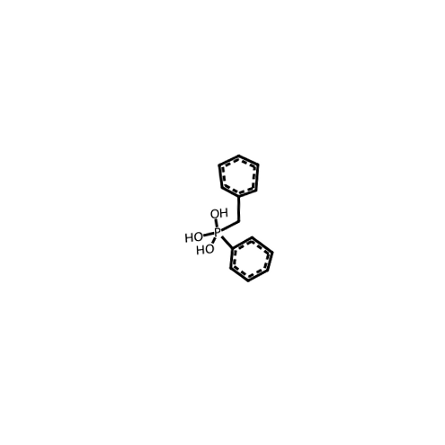 OP(O)(O)(Cc1ccccc1)c1ccccc1